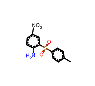 Cc1ccc(S(=O)(=O)c2cc([N+](=O)[O-])ccc2N)cc1